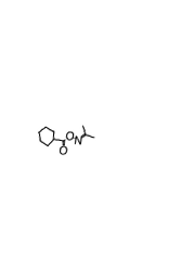 CC(C)=NOC(=O)C1CCCCC1